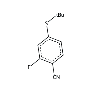 CC(C)(C)Sc1ccc(C#N)c(F)c1